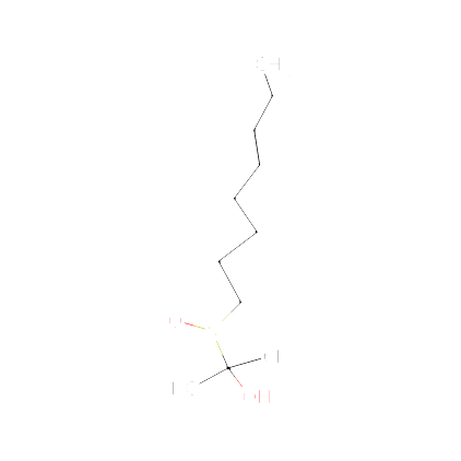 CCCCCCCC[S+]([O-])C(C)(C)O